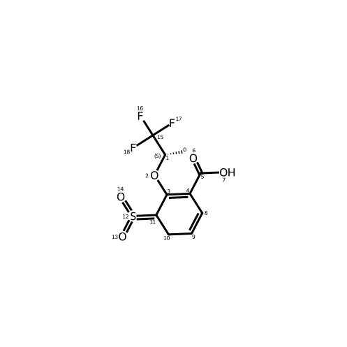 C[C@H](OC1=C(C(=O)O)C=CCC1=S(=O)=O)C(F)(F)F